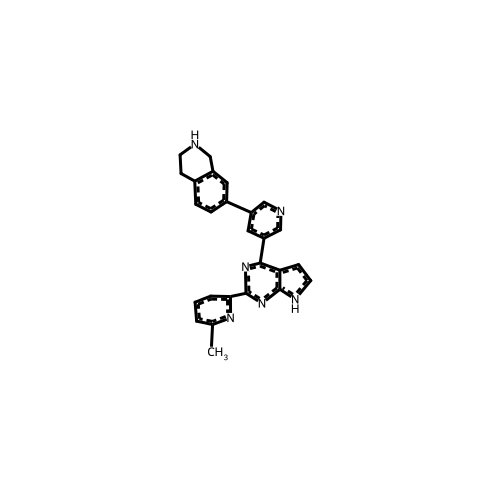 Cc1cccc(-c2nc(-c3cncc(-c4ccc5c(c4)CNCC5)c3)c3cc[nH]c3n2)n1